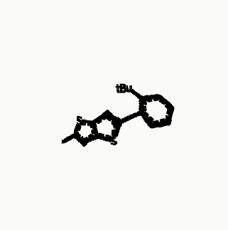 Cc1cc2sc(-c3ccccc3C(C)(C)C)cc2s1